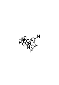 CN[C@@H]1CN(c2nc3c(F)cc(F)cc3n2C(C)c2ccc(C#N)cn2)CC[C@H]1F